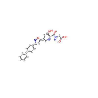 O=C(O)CNC(=O)c1ncc(-c2cc(-c3ccc(-c4ccccc4)cc3)no2)cc1O